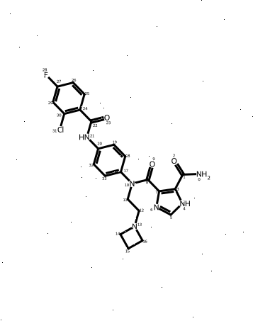 NC(=O)c1[nH]cnc1C(=O)N(CCN1CCC1)c1ccc(NC(=O)c2ccc(F)cc2Cl)cc1